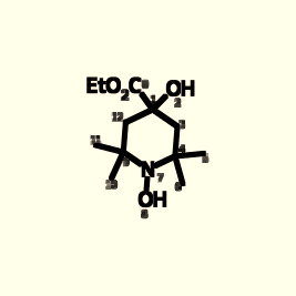 CCOC(=O)C1(O)CC(C)(C)N(O)C(C)(C)C1